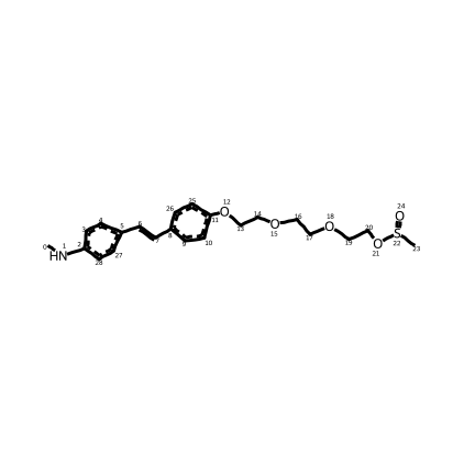 CNc1ccc(/C=C/c2ccc(OCCOCCOCCOS(C)=O)cc2)cc1